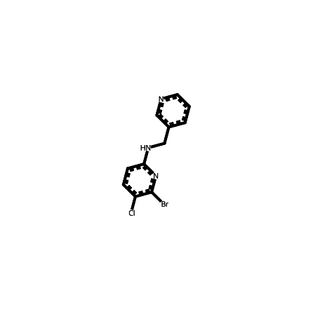 Clc1ccc(NCc2cccnc2)nc1Br